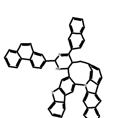 c1ccc2cc(C3=NC(c4ccc5c(ccc6ccccc65)c4)NC4c5cc6sc7ccccc7c6cc5-n5c6cc(ccc6c6cc7ccccc7cc65)CC34)ccc2c1